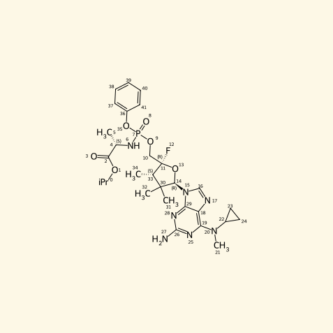 CC(C)OC(=O)[C@H](C)NP(=O)(OC[C@@]1(F)O[C@@H](n2cnc3c(N(C)C4CC4)nc(N)nc32)C(C)(C)[C@@H]1C)Oc1ccccc1